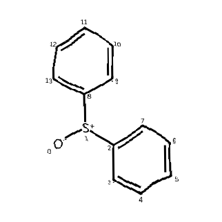 [O-][S+](c1[c]cccc1)c1[c]cccc1